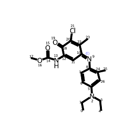 CCN(CC)c1ccc(/N=C2\C=C(NC(=O)OC)C(=O)C(Cl)=C2C)c(C)c1